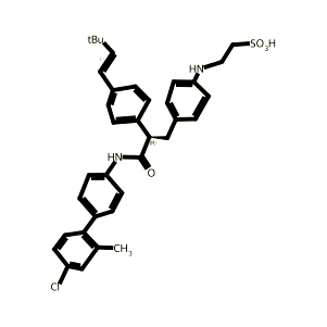 Cc1cc(Cl)ccc1-c1ccc(NC(=O)[C@H](Cc2ccc(NCCS(=O)(=O)O)cc2)c2ccc(/C=C/C(C)(C)C)cc2)cc1